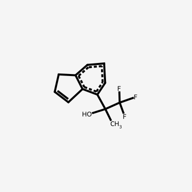 CC(O)(c1cccc2c1C=CC2)C(F)(F)F